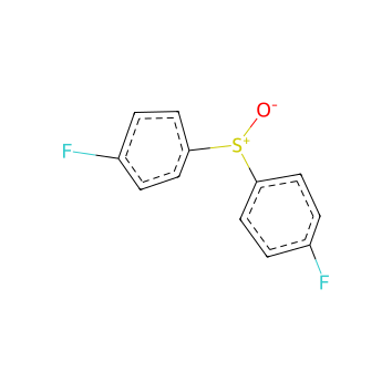 [O-][S+](c1ccc(F)cc1)c1ccc(F)cc1